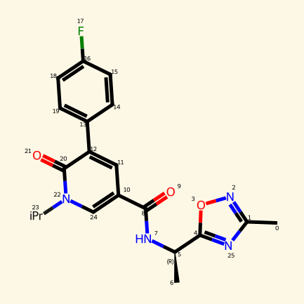 Cc1noc([C@@H](C)NC(=O)c2cc(-c3ccc(F)cc3)c(=O)n(C(C)C)c2)n1